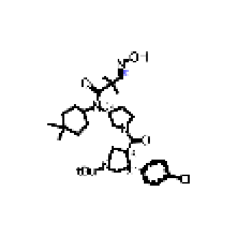 CC1(C)CCC(N(C(=O)C(C)(C)/C=N/O)[C@H]2CCN(C(=O)[C@@H]3CN(C(C)(C)C)C[C@H]3c3ccc(Cl)cc3)C2)CC1